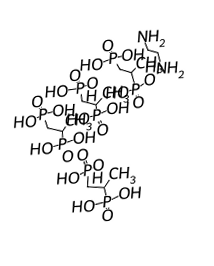 CC(CP(=O)(O)O)P(=O)(O)O.CC(CP(=O)(O)O)P(=O)(O)O.CC(CP(=O)(O)O)P(=O)(O)O.CC(CP(=O)(O)O)P(=O)(O)O.NCCN